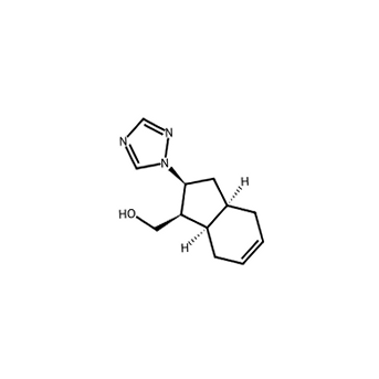 OC[C@@H]1[C@@H]2CC=CC[C@@H]2C[C@@H]1n1cncn1